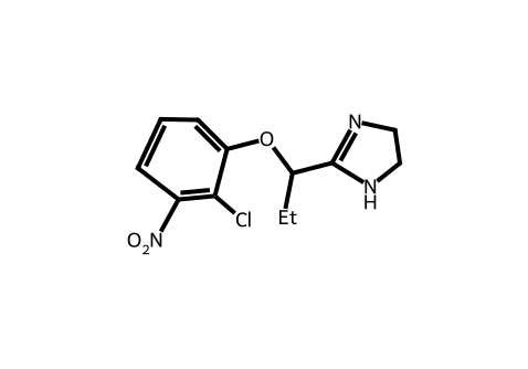 CCC(Oc1cccc([N+](=O)[O-])c1Cl)C1=NCCN1